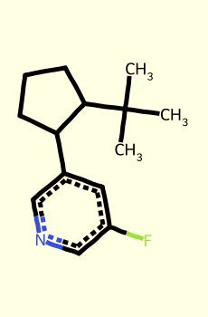 CC(C)(C)C1CCCC1c1cncc(F)c1